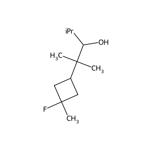 CC(C)C(O)C(C)(C)C1CC(C)(F)C1